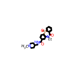 CCN1C(=O)c2ccccc2[S+]([O-])c2ccc(C(=O)NCC3CCN(C)CC3)cc21